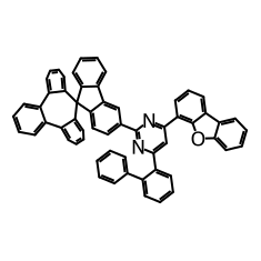 c1ccc(-c2ccccc2-c2cc(-c3cccc4c3oc3ccccc34)nc(-c3ccc4c(c3)-c3ccccc3C43c4ccccc4-c4ccccc4-c4ccccc43)n2)cc1